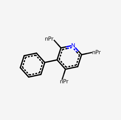 CCCc1cc(CCC)c(-c2ccccc2)c(CCC)n1